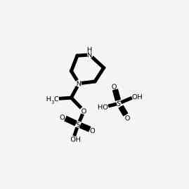 CC(OS(=O)(=O)O)N1CCNCC1.O=S(=O)(O)O